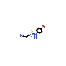 N#CCCNC(=S)Nc1ccc(Br)cc1